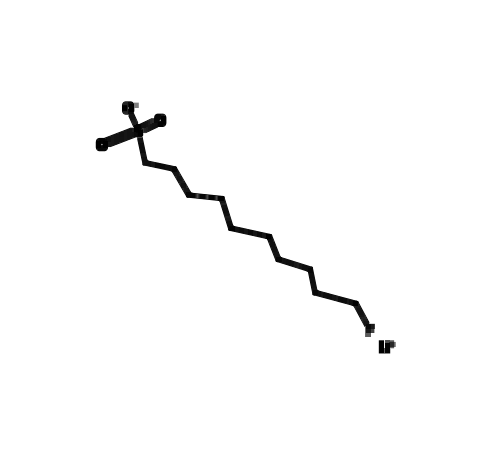 O=S(=O)([O-])CCCCCCCCCCF.[Li+]